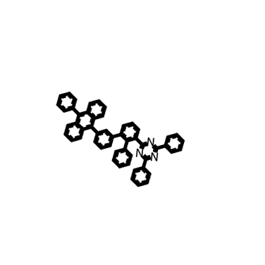 c1ccc(-c2nc(-c3ccccc3)nc(-c3cccc(-c4cccc(-c5c6ccccc6c(-c6ccccc6)c6ccccc56)c4)c3-c3ccccc3)n2)cc1